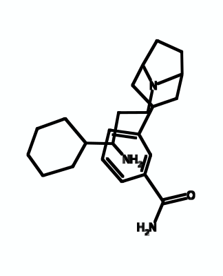 NC(=O)c1cccc(C2CC3CCC(C2)N3CCC(N)C2CCCCC2)c1